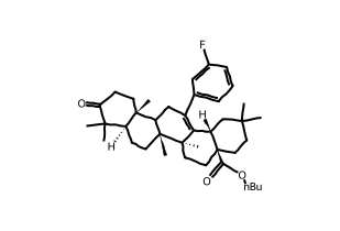 CCCCOC(=O)[C@]12CCC(C)(C)C[C@H]1C1=C(c3cccc(F)c3)CC3[C@@]4(C)CCC(=O)C(C)(C)[C@@H]4CC[C@@]3(C)[C@]1(C)CC2